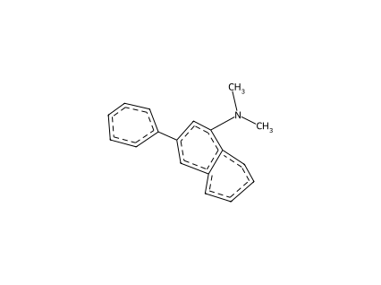 CN(C)c1cc(-c2ccccc2)cc2ccccc12